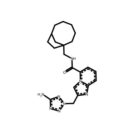 Nc1nnn(Cc2cn3c(C(=O)NCC45CCCCCC(CC4)C5)cccc3n2)n1